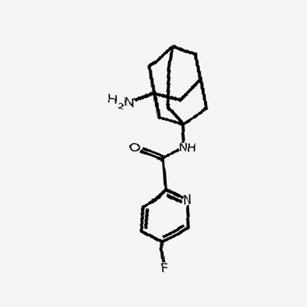 NC12CC3CC(C1)CC(NC(=O)c1ccc(F)cn1)(C3)C2